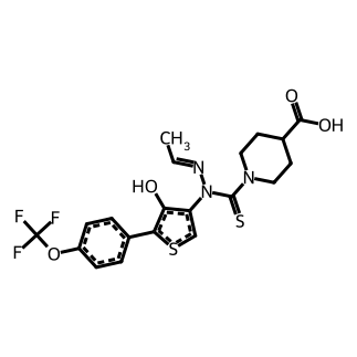 CC=NN(C(=S)N1CCC(C(=O)O)CC1)c1csc(-c2ccc(OC(F)(F)F)cc2)c1O